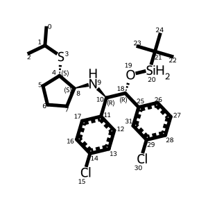 CC(C)S[C@H]1CCC[C@@H]1N[C@H](c1ccc(Cl)cc1)[C@H](O[SiH2]C(C)(C)C)c1cccc(Cl)c1